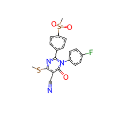 CSc1nc(-c2ccc(S(C)(=O)=O)cc2)n(-c2ccc(F)cc2)c(=O)c1C#N